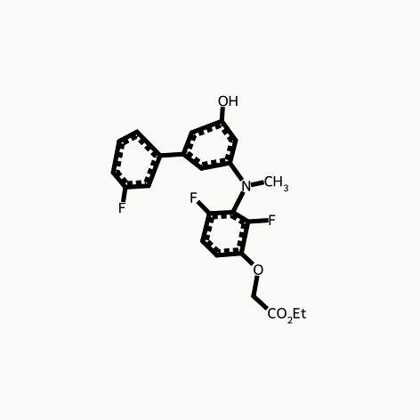 CCOC(=O)COc1ccc(F)c(N(C)c2cc(O)cc(-c3cccc(F)c3)c2)c1F